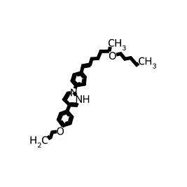 C=CCOc1ccc(C2=CNN(c3ccc(/C=C/CCCC(C)OCCCCC)cc3)C=C2)cc1